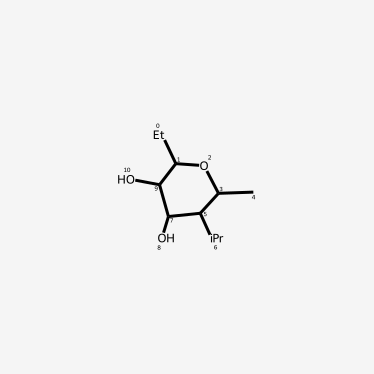 CCC1OC(C)C(C(C)C)C(O)C1O